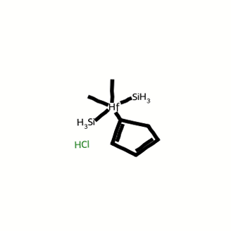 Cl.[CH3][Hf]([CH3])([SiH3])([SiH3])[C]1=CC=CC1